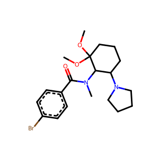 COC1(OC)CCCC(N2CCCC2)C1N(C)C(=O)c1ccc(Br)cc1